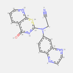 N#CCN(c1ccc2nccnc2c1)c1nc(=O)c2cccnc2s1